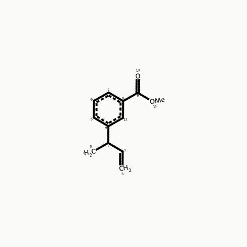 [CH2]C(C=C)c1cccc(C(=O)OC)c1